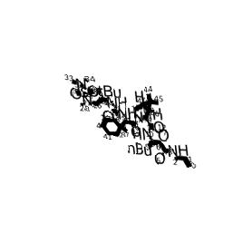 C=CCNC(=O)C(=O)C(CCCC)NC(=O)[C@@H]1[C@@H]2[C@H](CN1C(=O)[C@@H](NC(=O)N[C@H](CN(C)S(=O)(=O)N(C)C)C(C)(C)C)C1(C)CCCCC1)C2(C)C